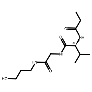 CCC(=O)N[C@H](C(=O)NCC(=O)NCCCO)C(C)C